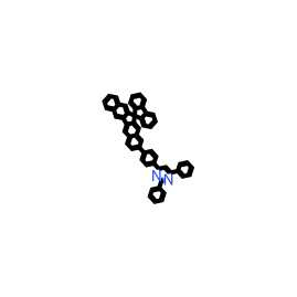 c1ccc(-c2cc(-c3ccc(-c4ccc5cc6c(cc5c4)C4(c5ccccc5-c5ccccc54)c4cc5ccccc5cc4-6)cc3)nc(-c3ccccc3)n2)cc1